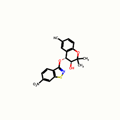 CC1(C)Oc2ccc(C#N)cc2[C@@H](Oc2nsc3cc([N+](=O)[O-])ccc23)[C@@H]1O